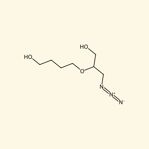 [N-]=[N+]=NCC(CO)OCCCCO